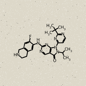 CC(C)n1c(=O)c2cnc(Nc3cc4c(cc3F)CNCC4)nc2n1-c1ccnc(C(C)(C)C)n1